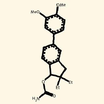 CCC1(CC)Cc2cc(-c3ccc(OC)c(OC)c3)ccc2C1OC(N)=O